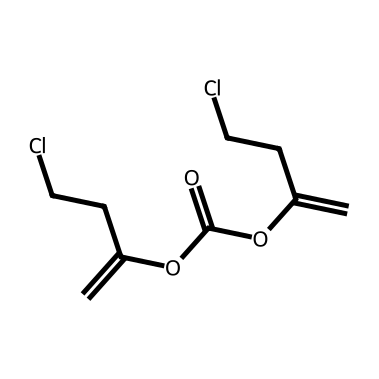 C=C(CCCl)OC(=O)OC(=C)CCCl